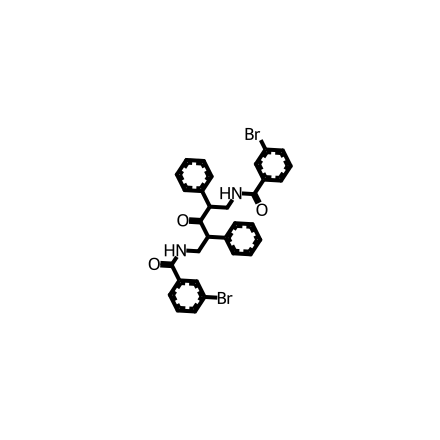 O=C(NCC(C(=O)C(CNC(=O)c1cccc(Br)c1)c1ccccc1)c1ccccc1)c1cccc(Br)c1